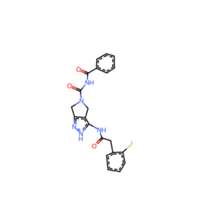 O=C(Cc1ccccc1F)Nc1[nH]nc2c1CN(C(=O)NC(=O)c1ccccc1)C2